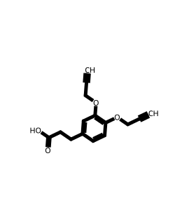 C#CCOc1ccc(CCC(=O)O)cc1OCC#C